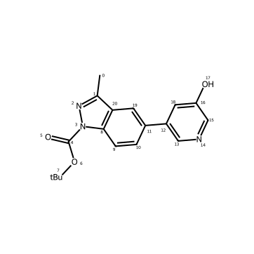 Cc1nn(C(=O)OC(C)(C)C)c2ccc(-c3cncc(O)c3)cc12